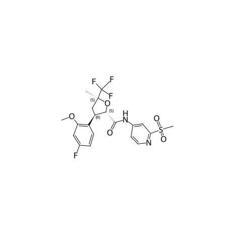 COc1cc(F)ccc1[C@H]1C[C@@](C)(C(F)(F)F)O[C@@H]1C(=O)Nc1ccnc(S(C)(=O)=O)c1